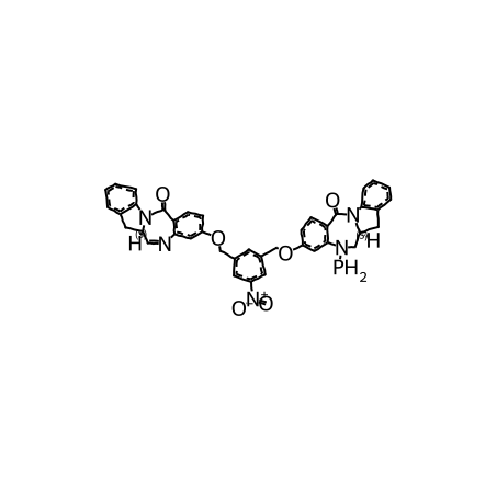 O=C1c2ccc(OCc3cc(COc4ccc5c(c4)N=C[C@@H]4Cc6ccccc6N4C5=O)cc([N+](=O)[O-])c3)cc2N(P)C[C@@H]2Cc3ccccc3N12